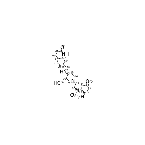 COc1ccc2ncc(=O)n(CCN3CCC(NCc4ccc5c(c4)NC(=O)CC5)CC3)c2c1.Cl